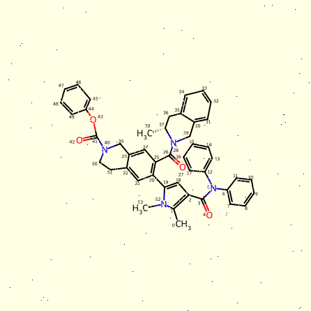 Cc1c(C(=O)N(c2ccccc2)c2ccccc2)cc(-c2cc3c(cc2C(=O)N2Cc4ccccc4C[C@H]2C)CN(C(=O)Oc2ccccc2)CC3)n1C